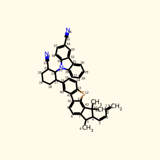 C=C/C=C\C1C(C)c2ccc3c(sc4ccc(C5CCCC(C#N)C5n5c6ccccc6c6cc(C#N)ccc65)cc43)c2C1(C)C